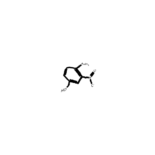 O=[N+]([O-])c1cc(O)ccc1[AsH2]